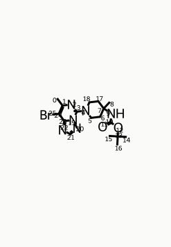 Cc1nc(N2CCC(C)(NC(=O)OC(C)(C)C)CC2)n2ncnc2c1Br